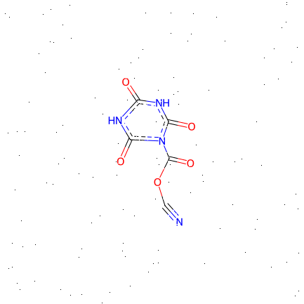 N#COC(=O)n1c(=O)[nH]c(=O)[nH]c1=O